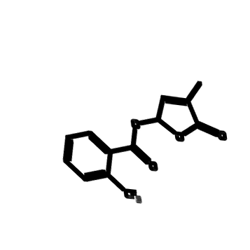 CC1=CC(OC(=O)c2ccccc2C(F)(F)F)OC1=O